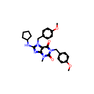 COc1ccc(Cn2c(=O)c3c(nc(NC4CCCC4)n3Cc3ccc(OC)cc3)n(C)c2=O)cc1